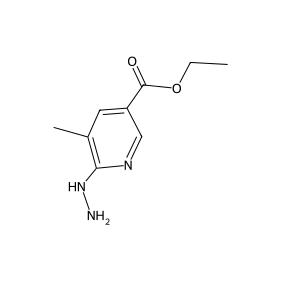 CCOC(=O)c1cnc(NN)c(C)c1